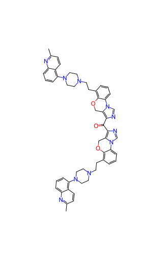 Cc1ccc2c(N3CCN(CCc4cccc5c4OCc4c(C(=O)c6ncn7c6COc6c(CCN8CCN(c9cccc%10nc(C)ccc9%10)CC8)cccc6-7)ncn4-5)CC3)cccc2n1